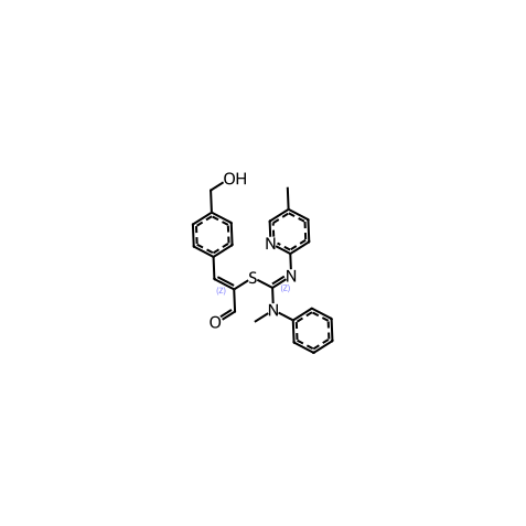 Cc1ccc(/N=C(\S/C(C=O)=C\c2ccc(CO)cc2)N(C)c2ccccc2)nc1